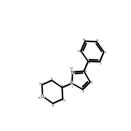 c1ccc(-c2ccn(C3CCOCC3)n2)cc1